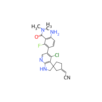 CN(C)C(=O)c1c(N)ccc(-c2cnc3c(c2Cl)C2(CCC(=CC#N)C2)CN3)c1F